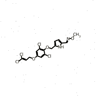 CO/N=C/c1ccc(COc2c(Cl)cc(OCC=C(Cl)Cl)cc2Cl)[nH]1